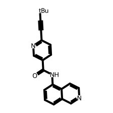 CC(C)(C)C#Cc1ccc(C(=O)Nc2cccc3cnccc23)cn1